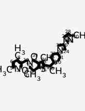 COc1nc(C)cc(C)c1CN1CCc2sc([C@H](C)[C@H]3CC[C@H](N4CC(n5ccc(C)n5)C4)CC3)c(C)c2C1=O